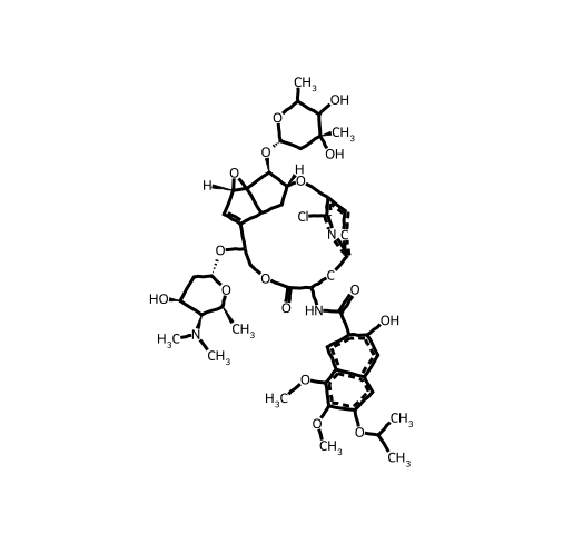 COc1c(OC(C)C)cc2cc(O)c(C(=O)NC3Cc4ccc(c(Cl)n4)O[C@@H]4CC5C(=C[C@@H]6OC56[C@H]4O[C@H]4C[C@@](C)(O)C(O)C(C)O4)C(O[C@H]4C[C@H](O)[C@H](N(C)C)[C@H](C)O4)COC3=O)cc2c1OC